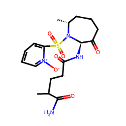 CC(C[CH]C(=O)N[C@@H]1C(=O)CCC[C@@H](C)N1S(=O)(=O)c1cccc[n+]1[O-])C(N)=O